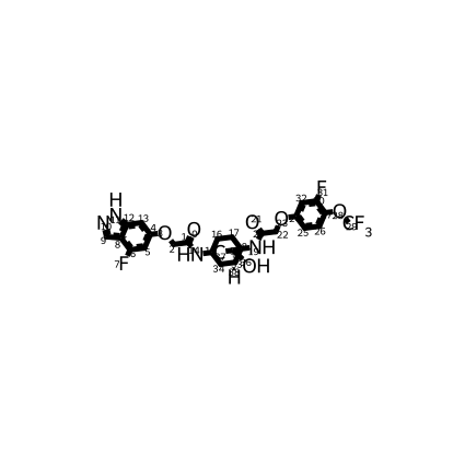 O=C(COc1cc(F)c2cn[nH]c2c1)NC12CCC(NC(=O)COc3ccc(OC(F)(F)F)c(F)c3)(CC1)[C@@H](O)C2